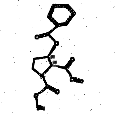 COC(=O)[C@H]1[C@H](OC(=O)c2ccccc2)CCN1C(=O)OC(C)(C)C